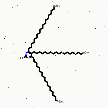 [CH2]c1nc(CCCCCCCCCCCCCCCCCCCCCCCCCCCC)c(CCCCCCCCCCCCCCCCCCCCCCCCCCCC)c(CCCCCCCCCCCCCCCCCCCCCCCCCCCC)n1